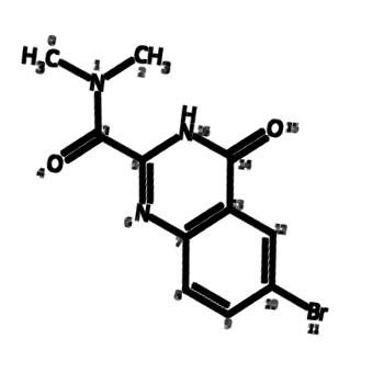 CN(C)C(=O)c1nc2ccc(Br)cc2c(=O)[nH]1